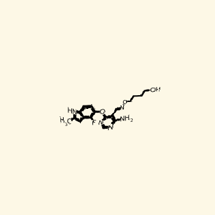 Cc1cc2c(F)c(Oc3ncnc(N)c3/C=N/OCCCCO)ccc2[nH]1